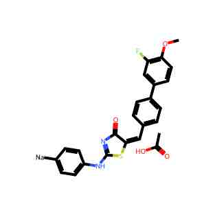 CC(=O)O.COc1ccc(-c2ccc(C=C3SC(Nc4cc[c]([Na])cc4)=NC3=O)cc2)cc1F